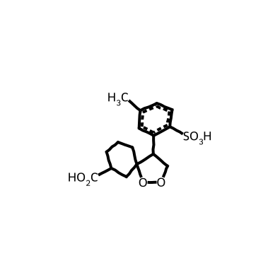 Cc1ccc(S(=O)(=O)O)c(C2COOC23CCCC(C(=O)O)C3)c1